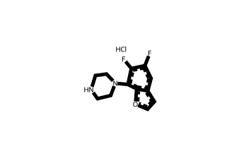 Cl.Fc1cc2ccoc2c(N2CCNCC2)c1F